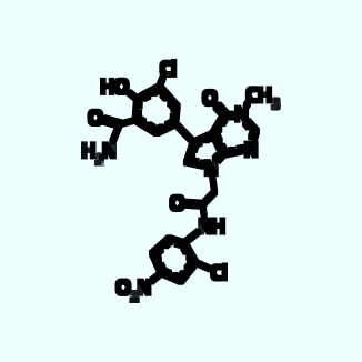 Cn1cnc2c(c(-c3cc(Cl)c(O)c(C(N)=O)c3)cn2CC(=O)Nc2ccc([N+](=O)[O-])cc2Cl)c1=O